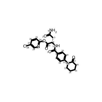 NC(=O)C[C@H](NC(=O)c1ccc(N2CCCCC2=O)cc1)C(=O)Oc1ccc(Cl)cn1